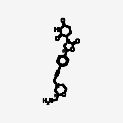 NC[C@H]1CN(CC#Cc2ccc([C@H]3CN(C4CCC(=O)NC4=O)C(=O)O3)cc2)CCO1